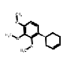 COc1ccc([C@@H]2CC=CCC2)c(OC)c1OC